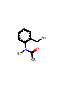 CCN(C(=O)C(F)(F)F)c1ccccc1CN